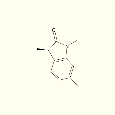 Cc1ccc2c(c1)N(C)C(=O)[C@@H]2C